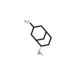 CC1CC2CC[C@H](N)C(C1)C2